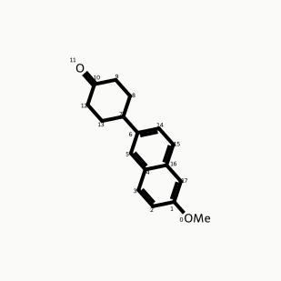 COc1ccc2cc(C3CCC(=O)CC3)ccc2c1